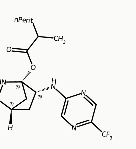 CCCCCC(C)C(=O)O[C@]12C[C@@H](CN1)C[C@H]2Nc1cnc(C(F)(F)F)cn1